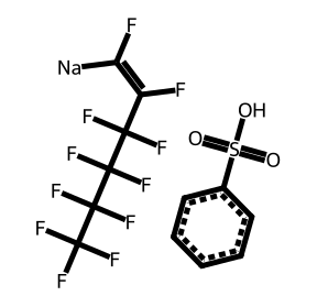 F[C]([Na])=C(F)C(F)(F)C(F)(F)C(F)(F)C(F)(F)F.O=S(=O)(O)c1ccccc1